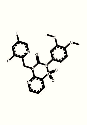 COc1ccc(N2C(=O)N(Cc3ncc(F)cc3F)c3ncccc3S2(=O)=O)cc1OC